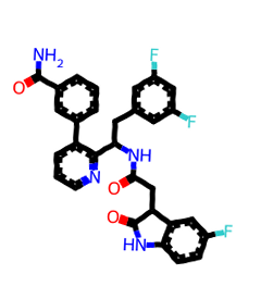 NC(=O)c1cccc(-c2cccnc2C(Cc2cc(F)cc(F)c2)NC(=O)CC2C(=O)Nc3ccc(F)cc32)c1